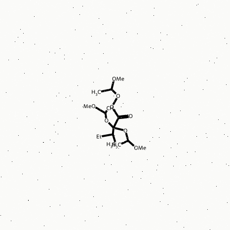 CCC([SiH3])C(OC(C)OC)(OC(C)OC)C(=O)OOC(C)OC